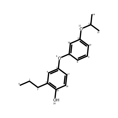 CCCc1cc(Oc2cccc(OC(C)C)c2)ccc1O